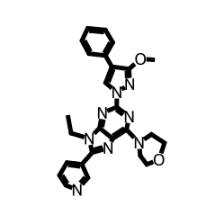 CCn1c(-c2cccnc2)nc2c(N3CCOCC3)nc(-n3cc(-c4ccccc4)c(OC)n3)nc21